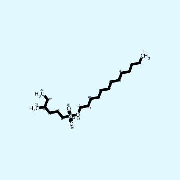 CCCCCCCCCCCCCOS(=O)(=O)CCCC(C)CC